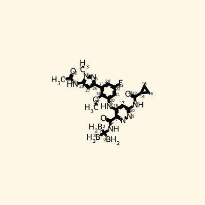 BC(B)(B)NC(=O)c1nnc(NC(=O)C2CC2)cc1Nc1cc(F)cc(-c2cc(NC(C)=O)n(C)n2)c1OC